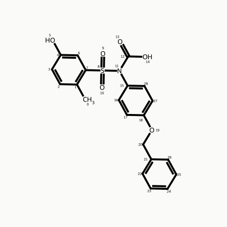 Cc1ccc(O)cc1S(=O)(=O)N(C(=O)O)c1ccc(OCc2ccccc2)cc1